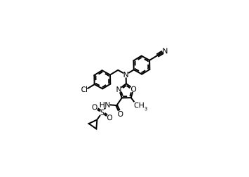 Cc1oc(N(Cc2ccc(Cl)cc2)c2ccc(C#N)cc2)nc1C(=O)NS(=O)(=O)C1CC1